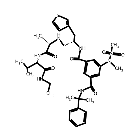 CCNC(=O)[C@@H](NC(=O)[C@H](C)NC[C@H](Cc1ccsc1)NC(=O)c1cc(C(=O)NC(C)(C)c2ccccc2)cc(N(C)S(C)(=O)=O)c1)C(C)C